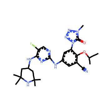 CC(C)Oc1c(C#N)cc(Nc2ncc(F)c(NC3CC(C)(C)NC(C)(C)C3)n2)cc1-n1nnn(C)c1=O